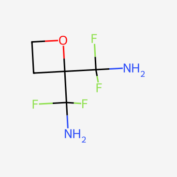 NC(F)(F)C1(C(N)(F)F)CCO1